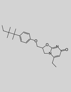 CCc1cc(=O)nc2n1CC(COc1ccc(C(C)(C)C(C)(C)CC)cc1)O2